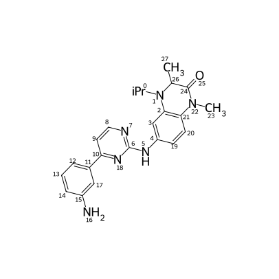 CC(C)N1c2cc(Nc3nccc(-c4cccc(N)c4)n3)ccc2N(C)C(=O)C1C